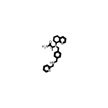 C[C@@H](C(N)=O)N(Cc1ccc(CNCc2ccccn2)cc1)C1CCCc2cccnc21